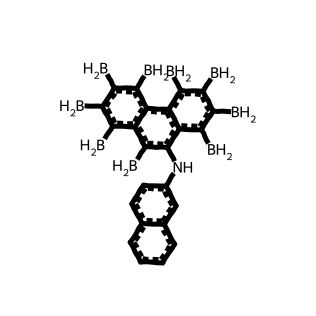 Bc1c(B)c(B)c2c(c1B)c(B)c(Nc1ccc3ccccc3c1)c1c(B)c(B)c(B)c(B)c12